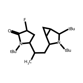 CC(CC1C2CC2C(C(C)(C)C)N1C(C)(C)C)C1CC(F)C(=O)N1C(C)(C)C